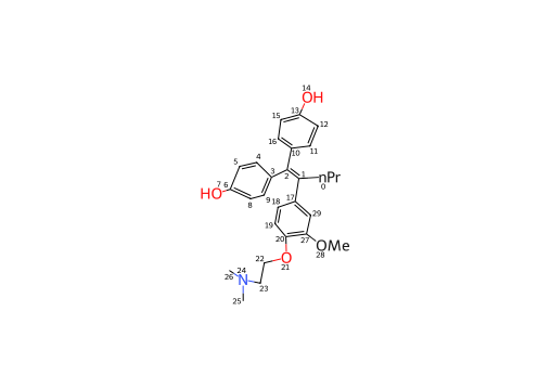 CCCC(=C(c1ccc(O)cc1)c1ccc(O)cc1)c1ccc(OCCN(C)C)c(OC)c1